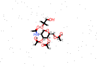 CC(=O)N[C@@H]1[C@H](OC(C)(C)CO)O[C@@H](COC(C)=O)[C@@H](OC(C)=O)[C@H]1OC(C)=O